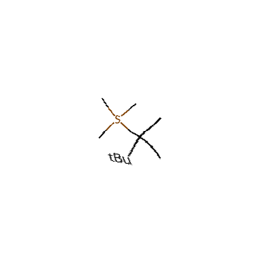 CC(C)(C)C(C)(C)S(C)(C)C